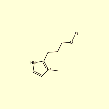 CCOCCCc1[nH]cc[n+]1C